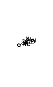 Cc1oncc1Cn1cc(N2C(=O)CN(CCc3ccccc3)C2=O)cn1